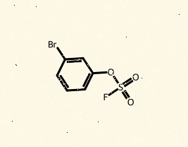 O=S(=O)(F)Oc1cccc(Br)c1